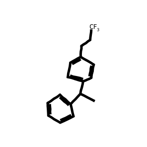 CC(c1ccccc1)c1ccc(CCC(F)(F)F)cc1